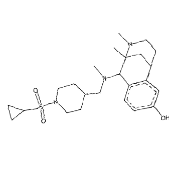 CN(CC1CCN(S(=O)(=O)C2CC2)CC1)C1c2ccc(O)cc2C2CCN(C)C1(C)C2